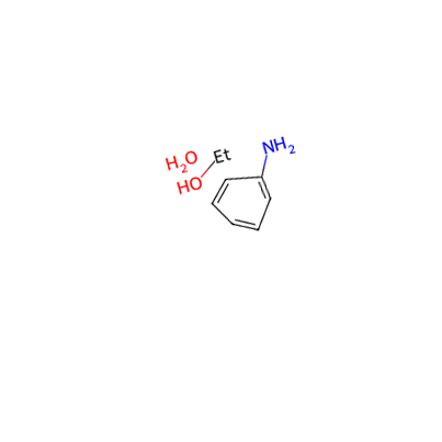 CCO.Nc1ccccc1.O